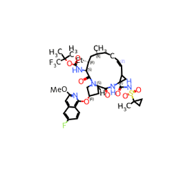 CC[C@@H]1C[C@H](C)CC/C=C\C2C[C@@]2(C(=O)NS(=O)(=O)C2(C)CC2)NC(=O)[C@@H]2C[C@@H](Oc3nc(OC)cc4cc(F)ccc34)CN2C(=O)[C@H]1NC(=O)OC(C)(C)C(F)(F)F